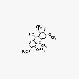 OC(c1ccc(OC(F)(F)F)c(OC(F)(F)F)c1OC(F)(F)F)c1ccc(OC(F)(F)F)c(OC(F)(F)F)c1OC(F)(F)F